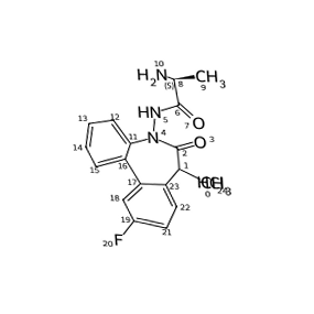 CC1C(=O)N(NC(=O)[C@H](C)N)c2ccccc2-c2cc(F)ccc21.Cl